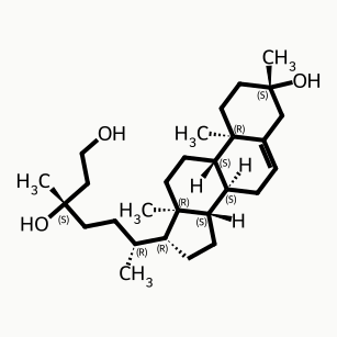 C[C@H](CC[C@](C)(O)CCO)[C@H]1CC[C@H]2[C@@H]3CC=C4C[C@@](C)(O)CC[C@]4(C)[C@H]3CC[C@]12C